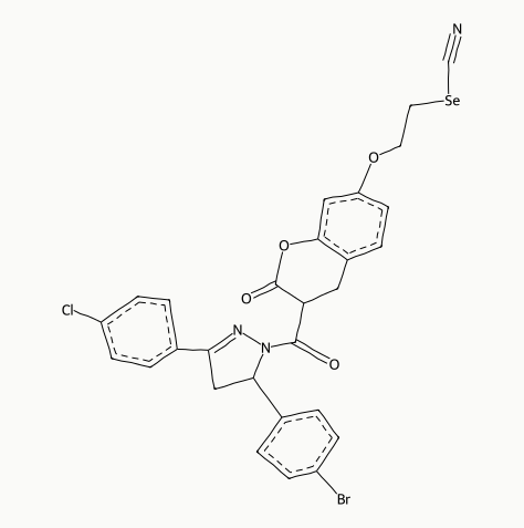 N#C[Se]CCOc1ccc2c(c1)OC(=O)C(C(=O)N1N=C(c3ccc(Cl)cc3)CC1c1ccc(Br)cc1)C2